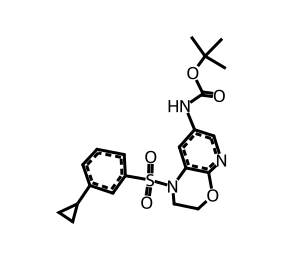 CC(C)(C)OC(=O)Nc1cnc2c(c1)N(S(=O)(=O)c1cccc(C3CC3)c1)CCO2